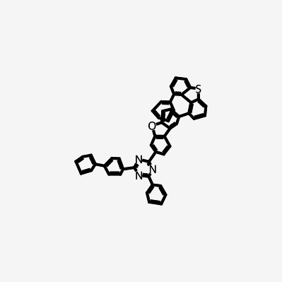 c1ccc(-c2ccc(-c3nc(-c4ccccc4)nc(-c4ccc5c(c4)oc4ccc(-c6cccc7sc8cccc(-c9ccccc9)c8c67)cc45)n3)cc2)cc1